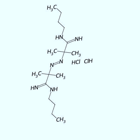 CCCCNC(=N)C(C)(C)/N=N/C(C)(C)C(=N)NCCCC.Cl.Cl